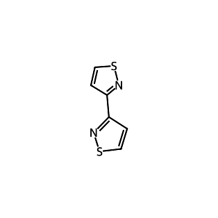 c1cc(-c2ccsn2)ns1